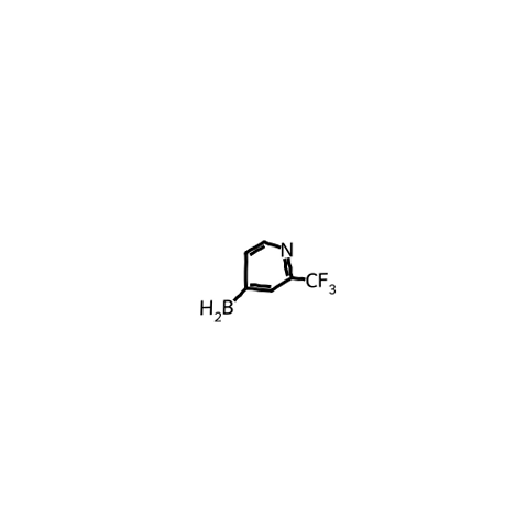 Bc1ccnc(C(F)(F)F)c1